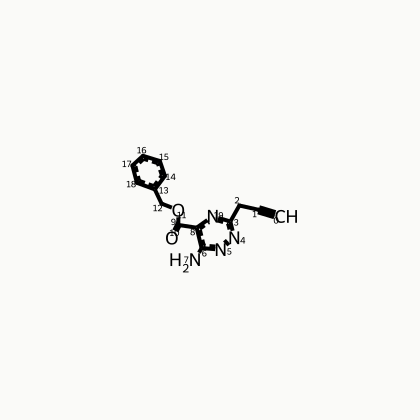 C#CCc1nnc(N)c(C(=O)OCc2ccccc2)n1